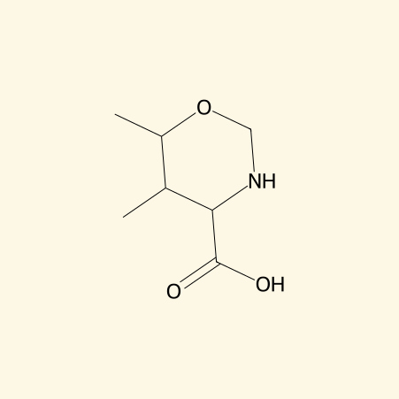 CC1OCNC(C(=O)O)C1C